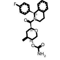 C=C1C[C@@H](C(=O)N2CCc3ccccc3[C@@H]2c2ccc(F)cc2)OC[C@@H]1OC(N)=O